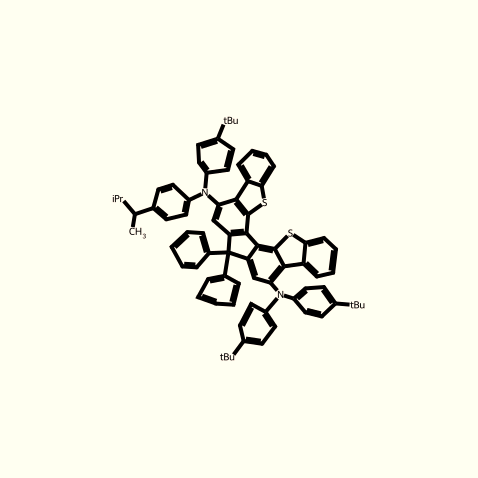 CC(C)C(C)c1ccc(N(c2ccc(C(C)(C)C)cc2)c2cc3c(c4sc5ccccc5c24)-c2c(cc(N(c4ccc(C(C)(C)C)cc4)c4ccc(C(C)(C)C)cc4)c4c2sc2ccccc24)C3(c2ccccc2)c2ccccc2)cc1